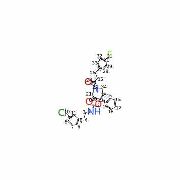 O=C(NCCc1cccc(Cl)c1)OC1(c2ccccc2)CCN(C(=O)CCc2ccc(F)cc2)CC1